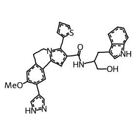 COc1cc2c(cc1-c1cn[nH]c1)-c1cc(C(=O)NC(CO)Cc3c[nH]c4ccccc34)c(-c3cccs3)n1CC2